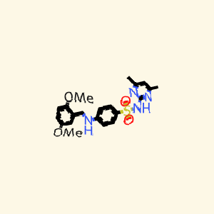 COc1ccc(OC)c(CNc2ccc(S(=O)(=O)Nc3nc(C)cc(C)n3)cc2)c1